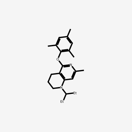 CCC(CC)N1CCCc2c1cc(C)nc2Oc1c(C)cc(C)cc1C